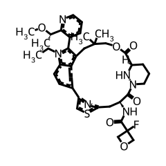 CCn1c(-c2cccnc2[C@H](C)OC)c2c3cc(ccc31)-c1csc(n1)C[C@H](NC(=O)C1(F)COC1)C(=O)N1CCC[C@H](N1)C(=O)OCC(C)(C)C2